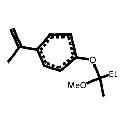 C=C(C)c1ccc(OC(C)(CC)OC)cc1